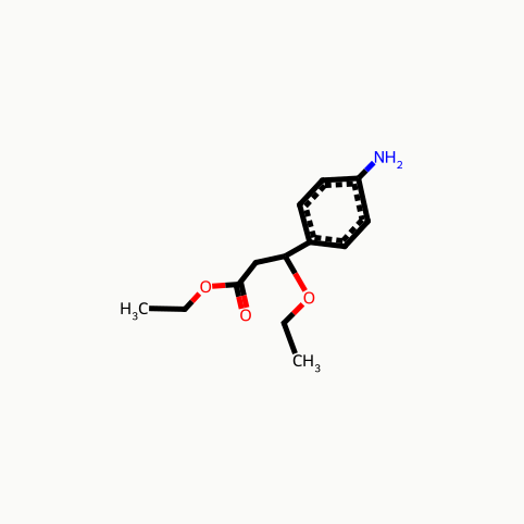 CCOC(=O)CC(OCC)c1ccc(N)cc1